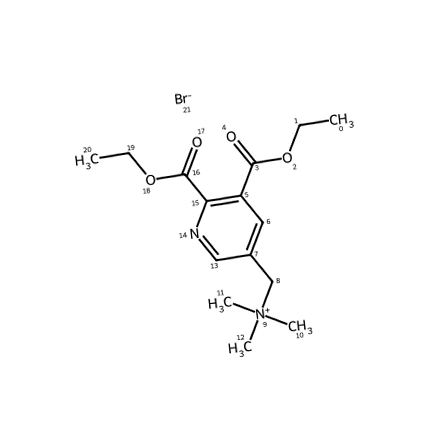 CCOC(=O)c1cc(C[N+](C)(C)C)cnc1C(=O)OCC.[Br-]